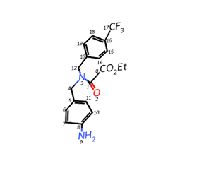 CCOC(=O)C(=O)N(Cc1ccc(N)cc1)Cc1ccc(C(F)(F)F)cc1